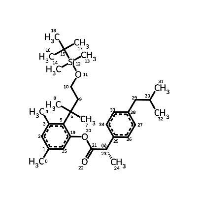 Cc1cc(C)c(C(C)(C)CCO[Si](C)(C)C(C)(C)C)c(OC(=O)[C@@H](C)c2ccc(CC(C)C)cc2)c1